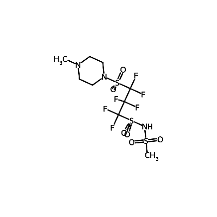 CN1CCN(S(=O)(=O)C(F)(F)C(F)(F)C(F)(F)S(=O)(=O)NS(C)(=O)=O)CC1